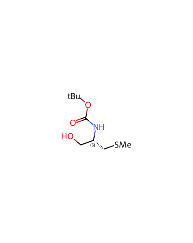 CSC[C@H](CO)NC(=O)OC(C)(C)C